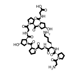 NCCCC[C@H](NC(=O)[C@@H]1CCCN1C(=O)CN)C(=O)NCC(=O)N1CCC[C@H]1C(=O)N1C[C@H](O)C[C@H]1C(=O)NCC(=O)N1CCC[C@H]1C(=O)N1C[C@H](O)C[C@H]1C(=O)NCC(=O)O